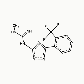 CNC(=N)Nc1nnc(-c2ccccc2C(F)(F)F)s1